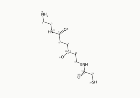 NCCNC(=O)CC[S+]([O-])CCNC(=O)CS